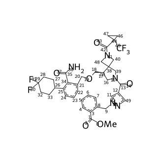 COC(=O)c1ccccc1Cn1cc(C(=O)N2C[C@@H](COCc3cccc(C4CCC(F)(F)CC4)c3C(N)=O)C3(C2)CN(C(=O)C2(C(F)(F)F)CC2)C3)cn1